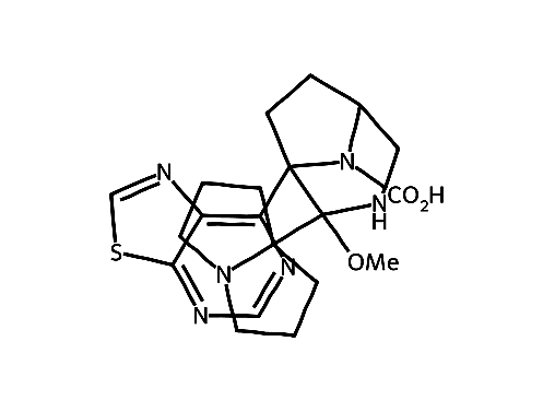 COC1(C23CCCN2CCC3)NCC2CCC1(c1ncnc3scnc13)N2C(=O)O